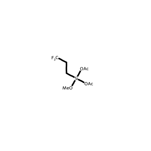 CO[Si](CCC(F)(F)F)(OC(C)=O)OC(C)=O